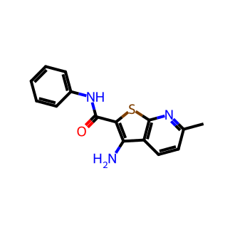 Cc1ccc2c(N)c(C(=O)Nc3ccccc3)sc2n1